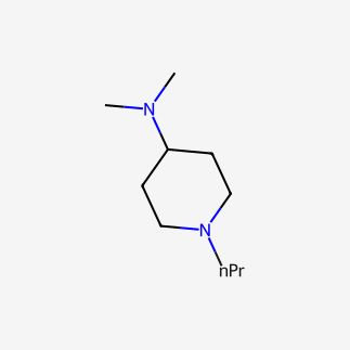 [CH2]CCN1CCC(N(C)C)CC1